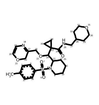 Cc1ccc(S(=O)(=O)N2CCCCC2C(OCC2=NC=COC2)C2(C(=O)NCC3CCOCC3)CC2)cc1